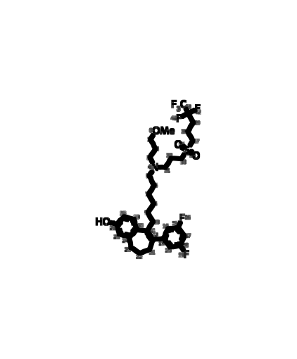 COCCCN(CCCCCCC1=C(c2cc(F)cc(F)c2)CCCc2cc(O)ccc21)CCCS(=O)(=O)CCCC(F)(F)C(F)(F)F